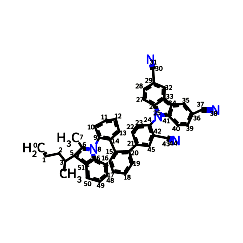 C=CCC(C)c1c(C)n(-c2ccccc2-c2ccccc2-c2ccc(-n3c4ccc(C#N)cc4c4cc(C#N)ccc43)c(C#N)c2)c2ccccc12